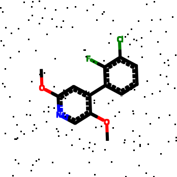 COc1cc(-c2[c]ccc(Cl)c2F)c(OC)cn1